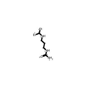 CCC(CC)NCCCNC(N)=O